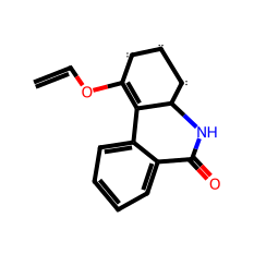 C=COC1=C2c3ccccc3C(=O)NC2[C][C][C]1